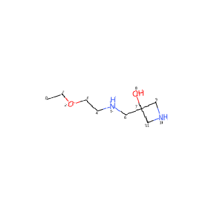 CCOCCNCC1(O)CNC1